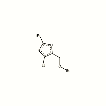 CCOCc1oc(C(C)C)nc1CC